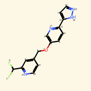 FC(F)c1cc(COc2ccc(-c3ccn[nH]3)nc2)ccn1